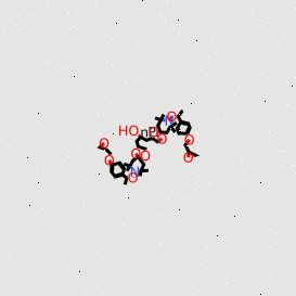 CCCC(O)(CC1COC2(CC(C)(C)N(OC(C)c3ccc(OCC4CO4)cc3)C(C)(C)C2)O1)CC1COC2(CC(C)(C)N(OC(C)c3ccc(OCC4CO4)cc3)C(C)(C)C2)O1